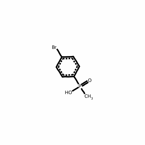 CP(=O)(O)c1ccc(Br)cc1